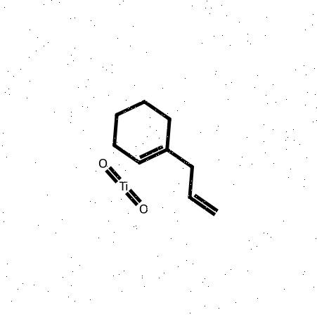 C=CCC1=CCCCC1.[O]=[Ti]=[O]